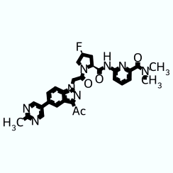 CC(=O)c1nn(CC(=O)N2C[C@H](F)C[C@H]2C(=O)Nc2cccc(C(=O)N(C)C)n2)c2ccc(-c3cnc(C)nc3)cc12